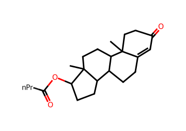 CCCC(=O)OC1CCC2C3CCC4=CC(=O)CCC4(C)C3CCC12C